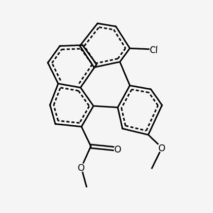 COC(=O)c1ccc2ccccc2c1-c1cc(OC)ccc1-c1ccccc1Cl